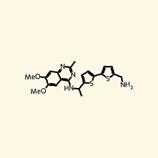 COc1cc2nc(C)nc(NC(C)c3ccc(-c4ccc(CN)s4)s3)c2cc1OC